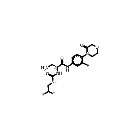 NC[C@H](NC(=O)NCC(F)F)C(=O)Nc1ccc(N2CCOCC2=O)c(F)c1